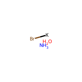 N.O.[K][Br]